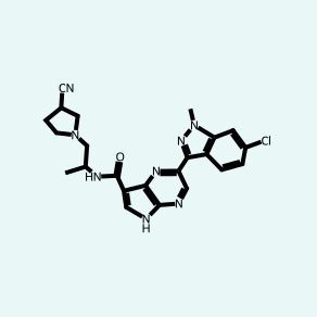 CC(CN1CCC(C#N)C1)NC(=O)c1c[nH]c2ncc(-c3nn(C)c4cc(Cl)ccc34)nc12